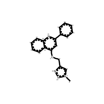 Cn1cc(COc2cc(-c3ccccc3)nc3ccccc23)nn1